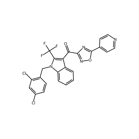 O=C(c1noc(-c2ccncc2)n1)c1c(C(F)(F)F)n(Cc2ccc(Cl)cc2Cl)c2ccccc12